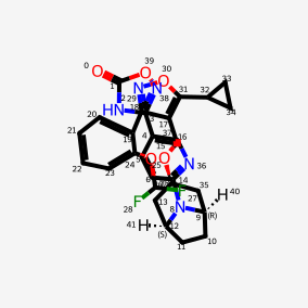 O=c1[nH]c(-c2ccc(N3[C@@H]4CC[C@H]3C[C@@H](OCc3c(-c5ccccc5OC(F)F)noc3C3CC3)C4)nc2)no1